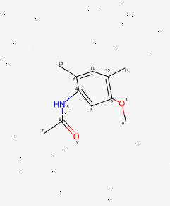 COc1cc(NC(C)=O)c(C)cc1C